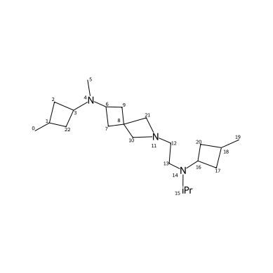 CC1CC(N(C)C2CC3(C2)CN(CCN(C(C)C)C2CC(C)C2)C3)C1